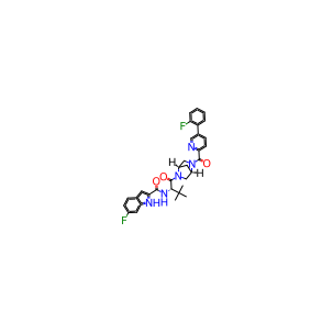 CC(C)(C)[C@H](NC(=O)c1cc2ccc(F)cc2[nH]1)C(=O)N1C[C@@H]2C[C@H]1CN2C(=O)c1ccc(-c2ccccc2F)cn1